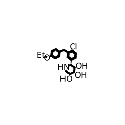 CCOc1ccc(Cc2cc([C@@H]3NC[C@@H](O)[C@H](O)[C@H]3O)ccc2Cl)cc1